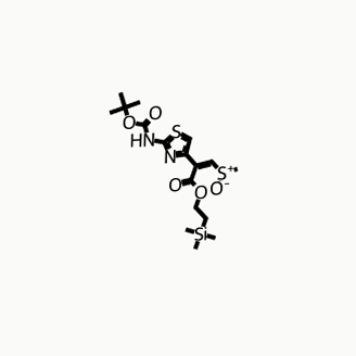 C[S+]([O-])C=C(C(=O)OCC[Si](C)(C)C)c1csc(NC(=O)OC(C)(C)C)n1